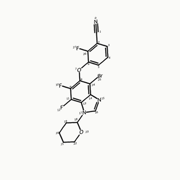 N#Cc1cccc(Oc2c(F)c(F)c3c(ncn3C3CCCCO3)c2Br)c1F